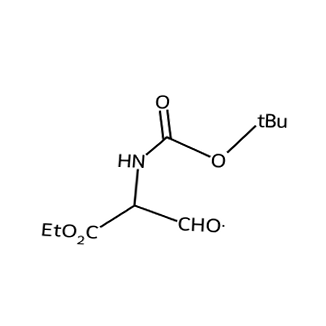 CCOC(=O)C([C]=O)NC(=O)OC(C)(C)C